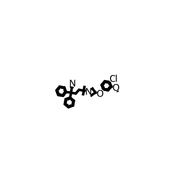 COc1cc(OC2CN(C(C)(C)CCC(C#N)(c3ccccc3)c3ccccc3)C2)ccc1Cl